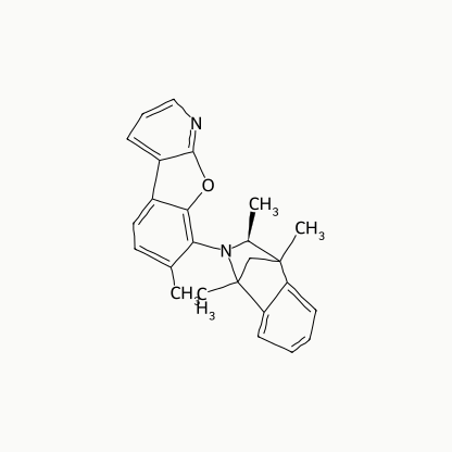 Cc1ccc2c(oc3ncccc32)c1N1[C@@H](C)C2(C)CC1(C)c1ccccc12